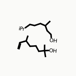 C=CC(C)CCCC(C)(C)O.CC(C)CCCC(C)CCO